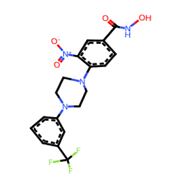 O=C(NO)c1ccc(N2CCN(c3cccc(C(F)(F)F)c3)CC2)c([N+](=O)[O-])c1